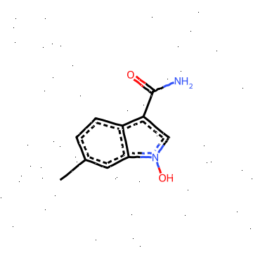 Cc1ccc2c(C(N)=O)cn(O)c2c1